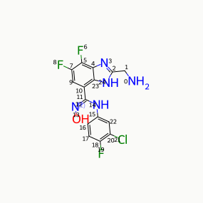 NCc1nc2c(F)c(F)cc(/C(=N/O)Nc3ccc(F)c(Cl)c3)c2[nH]1